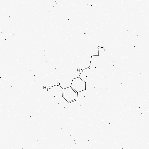 CCCCNC1CCc2cccc(OC)c2C1